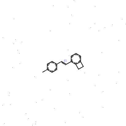 Cc1ccc(/C=C/c2cccc3c2CC3)cc1